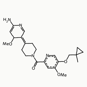 COc1cc(C(=O)N2CCC(=C3C=NC(N)=CC3OC)CC2)ncc1OCC1(C)CC1